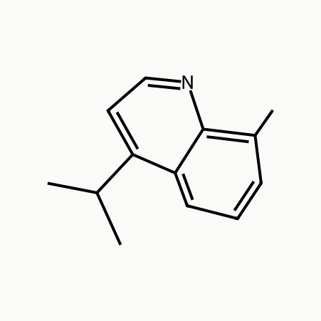 Cc1cccc2c(C(C)C)ccnc12